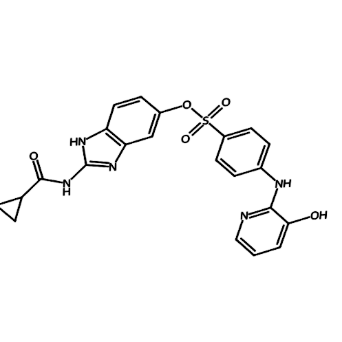 O=C(Nc1nc2cc(OS(=O)(=O)c3ccc(Nc4ncccc4O)cc3)ccc2[nH]1)C1CC1